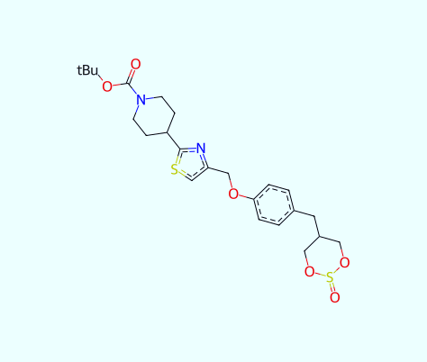 CC(C)(C)OC(=O)N1CCC(c2nc(COc3ccc(CC4COS(=O)OC4)cc3)cs2)CC1